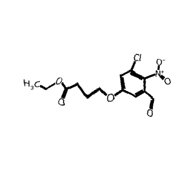 CCOC(=O)CCCOc1cc(Cl)c([N+](=O)[O-])c(C=O)c1